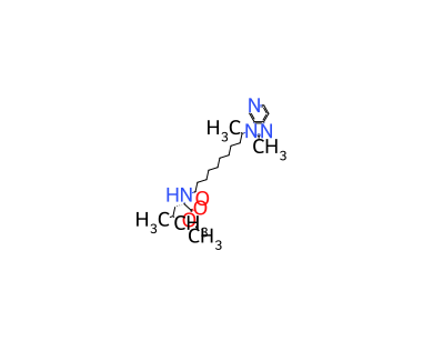 CCOC(=O)[C@H](CC(C)C)NC(=O)CCCCCCCCC(C)n1c(C)nc2ccncc21